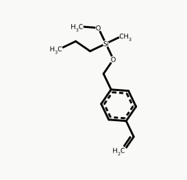 C=Cc1ccc(CO[Si](C)(CCC)OC)cc1